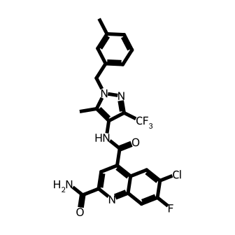 Cc1cccc(Cn2nc(C(F)(F)F)c(NC(=O)c3cc(C(N)=O)nc4cc(F)c(Cl)cc34)c2C)c1